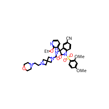 CCOc1ncccc1[C@@]1(NC(=O)N2CC3(CN(CCN4CCOCC4)C3)C2)C(=O)N(S(=O)(=O)c2ccc(OC)cc2OC)c2ccc(C#N)cc21